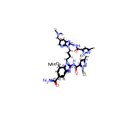 CCn1nc(C)cc1C(=O)Nc1nc2cc(CN(C)C)cnc2n1C/C=C/Cn1c(NC(=O)c2cc(C)nn2CC)nc2cc(C(N)=O)cc(OC)c21